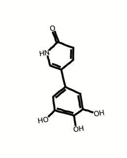 O=c1ccc(-c2cc(O)c(O)c(O)c2)c[nH]1